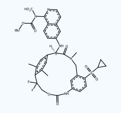 Cc1cc2cc(C)c1C(F)(F)COC(=O)Nc1ccc(S(=O)(=O)C3CC3)c(c1)CN(C)C(=O)[C@@H]2Nc1ccc2c(N(C(=O)O)C(=O)OC(C)(C)C)nccc2c1